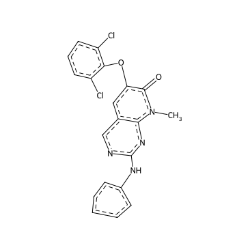 Cn1c(=O)c(Oc2c(Cl)cccc2Cl)cc2cnc(Nc3ccccc3)nc21